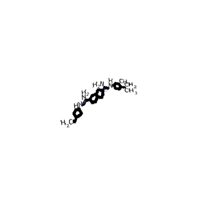 C=Cc1ccc(N/C=C(\N)c2ccc3ccc(/C(N)=C/Nc4ccc(C(=C)C)c(C)c4)cc3c2)cc1